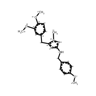 COc1ccc(CNc2nc(Cc3ccc(OC)c(OC)c3)n(C)n2)cc1